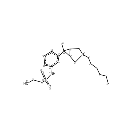 CCCCCCN1CC2C(C1)C2(C)c1cccc(NS(=O)(=O)CCO)c1